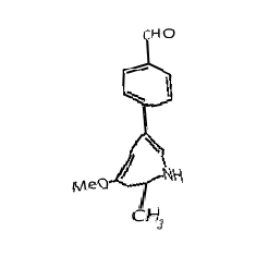 COC1=CC(c2ccc(C=O)cc2)=CNC1C